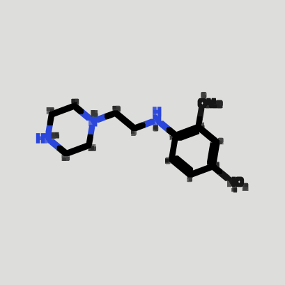 COc1cc([N+](=O)[O-])ccc1NCCN1CCNCC1